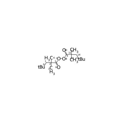 CC(C)(C)CC(C)(C)C(=O)OOC(=O)C(C)(C)CC(C)(C)C